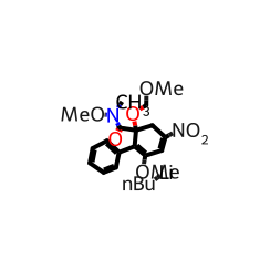 COCOC1(C(=O)N(C)OC)CC([N+](=O)[O-])=CC(OC)=C1c1ccccc1.[Li][CH2]CCC